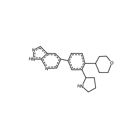 c1cc(C2CCOCC2)c(C2CCCN2)cc1-c1cnc2[nH]ncc2c1